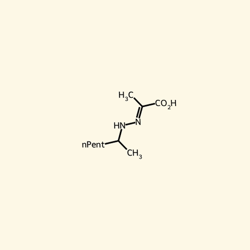 CCCCCC(C)NN=C(C)C(=O)O